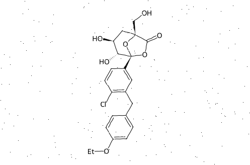 CCOc1ccc(Cc2cc([C@@]34OC(=O)[C@@](CO)(C[C@H](O)[C@H]3O)O4)ccc2Cl)cc1